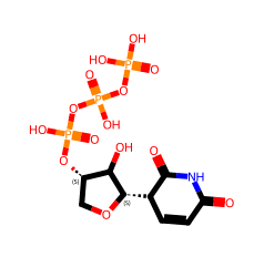 O=C1C=CC([C@@H]2OC[C@H](OP(=O)(O)OP(=O)(O)OP(=O)(O)O)C2O)C(=O)N1